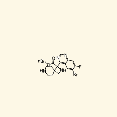 CCCCOC(=O)C1(c2ncnc3cc(F)c(Br)cc23)NCC12CCNCC2